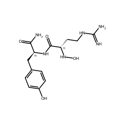 N=C(N)NCC[C@H](NO)C(=O)N[C@@H](Cc1ccc(O)cc1)C(N)=O